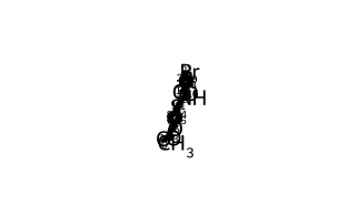 COC(=O)COc1ccc(SCCNS(=O)(=O)c2ccc(Br)cc2)cc1